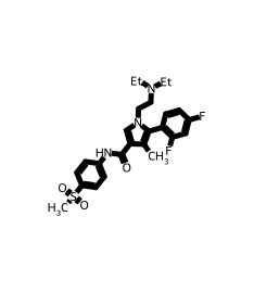 CCN(CC)CCn1cc(C(=O)Nc2ccc(S(C)(=O)=O)cc2)c(C)c1-c1ccc(F)cc1F